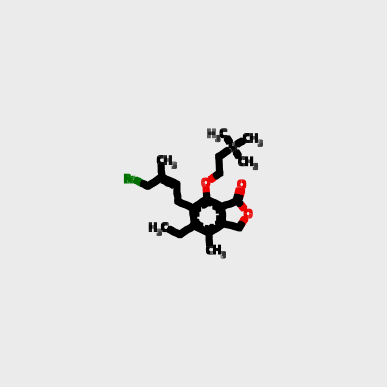 CCc1c(C)c2c(c(OCC[Si](C)(C)C)c1CC=C(C)CBr)C(=O)OC2